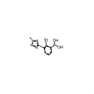 CCc1c(B(O)O)cccc1-c1nnn(C)n1